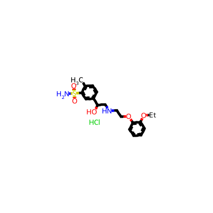 CCOc1ccccc1OCCNCC(O)c1ccc(C)c(S(N)(=O)=O)c1.Cl